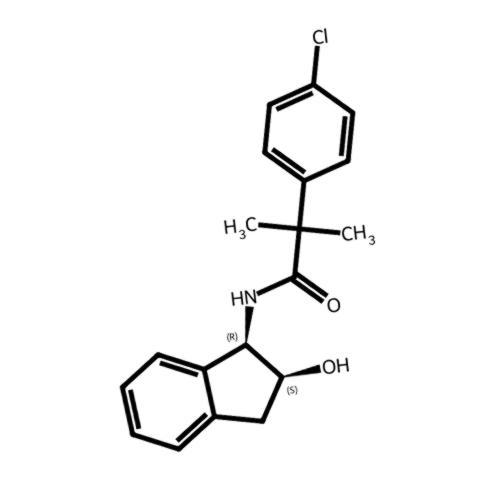 CC(C)(C(=O)N[C@@H]1c2ccccc2C[C@@H]1O)c1ccc(Cl)cc1